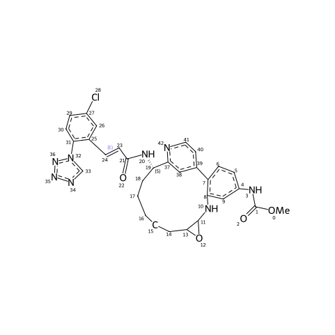 COC(=O)Nc1ccc2c(c1)NC1OC1CCCCC[C@H](NC(=O)/C=C/c1cc(Cl)ccc1-n1cnnn1)c1cc-2ccn1